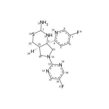 NC1N[C@@]2(c3ccc(F)cn3)CN(c3ncc(F)cn3)C[C@H]2CS1